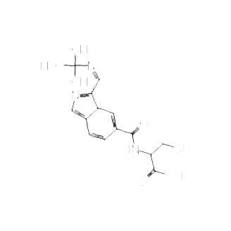 CC(C)(C)/N=C\C1=NC=C2C=CC(C(=O)NC(CS)C(=O)O)=CC21